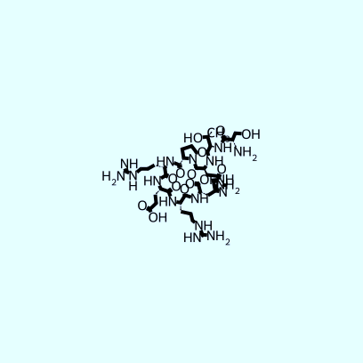 C[C@@H](O)[C@H](NC(=O)[C@@H](N)CO)C(=O)N[C@@H](CC(N)=O)C(=O)N1CCC[C@H]1C(=O)N[C@@H](CCCNC(=N)N)C(=O)N[C@@H](CCC(=O)O)C(=O)N[C@@H](CCCNC(=N)N)C(=O)N[C@@H](Cc1c[nH]cn1)C(=O)O